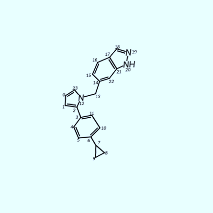 c1cc(-c2ccc(C3CC3)cc2)n(Cc2ccc3cn[nH]c3c2)c1